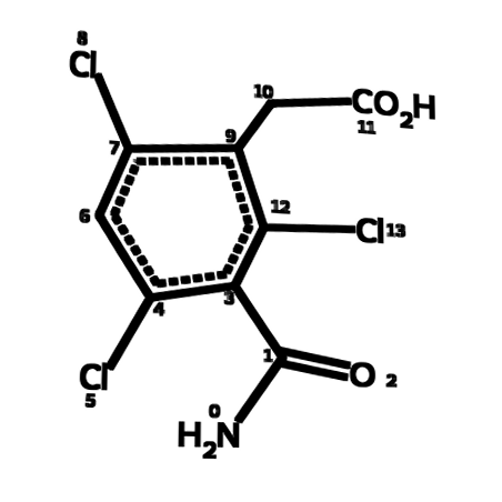 NC(=O)c1c(Cl)cc(Cl)c(CC(=O)O)c1Cl